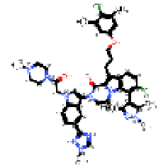 Cc1cc(OCCCc2c3n(c4c(-c5c(C)nn(C)c5C)c(Cl)ccc24)C(C)CN(c2cn(CC(=O)N4CCN(C)CC4)c4ccc(-c5ncn(C)n5)cc24)C3=O)cc(C)c1Cl